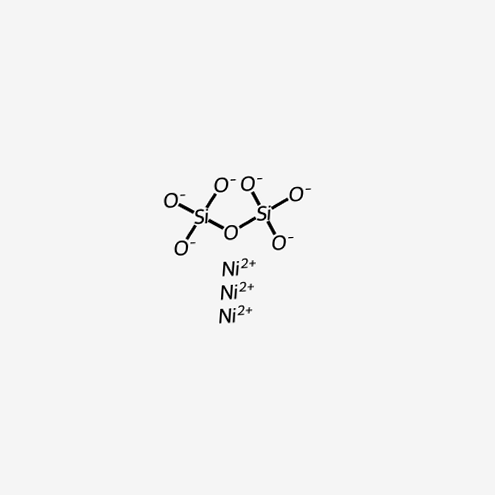 [Ni+2].[Ni+2].[Ni+2].[O-][Si]([O-])([O-])O[Si]([O-])([O-])[O-]